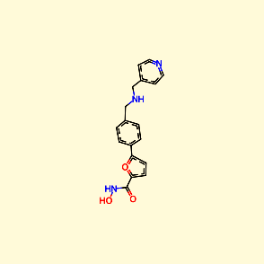 O=C(NO)c1ccc(-c2ccc(CNCc3ccncc3)cc2)o1